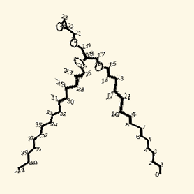 CCCCCCCCCCCCCCCCOCC(COCC1CO1)OCCCCCCCCCCCCCCCC